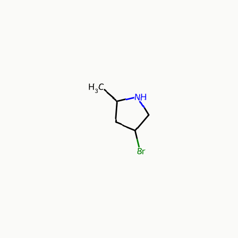 CC1CC(Br)CN1